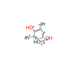 CC(C)c1cccc(C(C)C)c1O.O=S(=O)(O)O